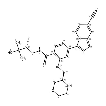 CC(C)(O)[C@H](F)CNC(=O)c1cnc(-c2ccc3cc(C#N)cnn23)cc1NC[C@@H]1COCCN1